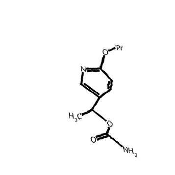 CC(C)Oc1ccc(C(C)OC(N)=O)cn1